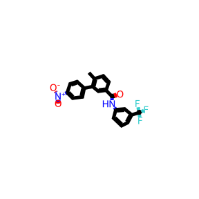 Cc1ccc(C(=O)Nc2cccc(C(F)(F)F)c2)cc1-c1ccc([N+](=O)[O-])cc1